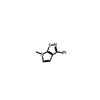 CC(C)c1nsc2c1ccn2C